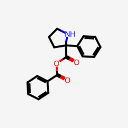 O=C(OC(=O)C1(c2ccccc2)CCCN1)c1ccccc1